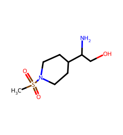 CS(=O)(=O)N1CCC(C(N)CO)CC1